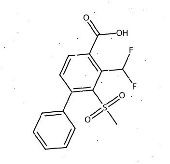 CS(=O)(=O)c1c(-c2ccccc2)ccc(C(=O)O)c1C(F)F